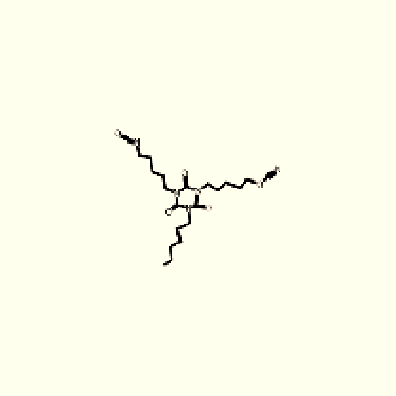 CCCCCCn1c(=O)n(CCCCCN=C=O)c(=O)n(CCCCCOC#N)c1=O